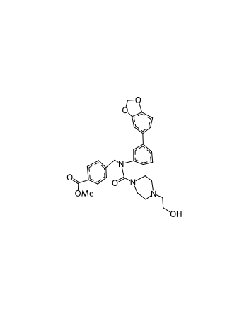 COC(=O)c1ccc(CN(C(=O)N2CCN(CCO)CC2)c2cccc(-c3ccc4c(c3)OCO4)c2)cc1